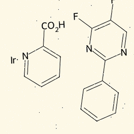 Fc1cnc(-c2ccccc2)nc1F.O=C(O)c1ccccn1.[Ir]